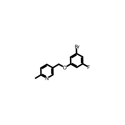 Cc1ccc(COc2cc(F)cc(Br)c2)cn1